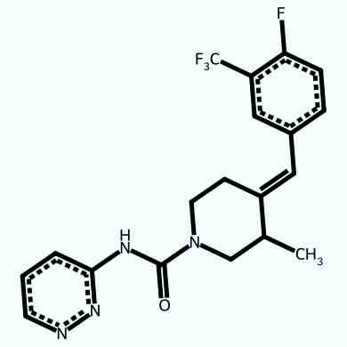 CC1CN(C(=O)Nc2cccnn2)CCC1=Cc1ccc(F)c(C(F)(F)F)c1